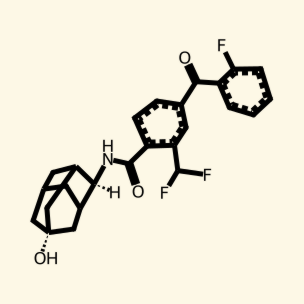 O=C(c1ccc(C(=O)N[C@H]2C3CC4CC2C[C@](O)(C4)C3)c(C(F)F)c1)c1ccccc1F